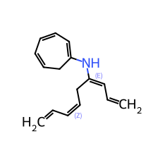 C=C/C=C\C/C(=C\C=C)NC1=CC=CC=CC1